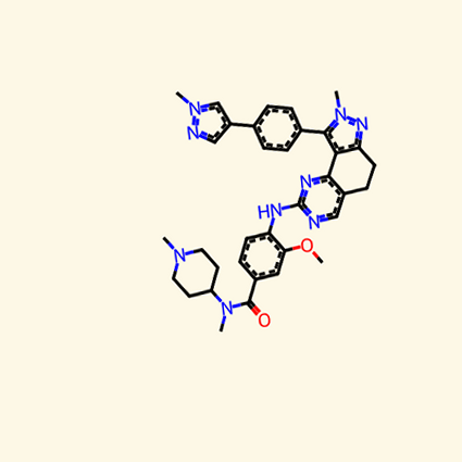 COc1cc(C(=O)N(C)C2CCN(C)CC2)ccc1Nc1ncc2c(n1)-c1c(nn(C)c1-c1ccc(-c3cnn(C)c3)cc1)CC2